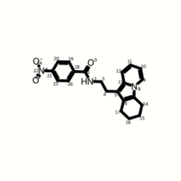 O=C(NCCc1c2c(n3ccccc13)CCCC2)c1ccc([N+](=O)[O-])cc1